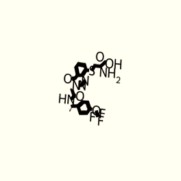 C[C@H](NC(=O)Cn1nnc2c(SC[C@H](N)C(=O)O)cccc2c1=O)c1ccc(OC(F)(F)F)cc1